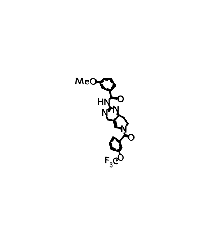 COc1cccc(C(=O)NC2=NCC3=CN(C(=O)c4cccc(OC(F)(F)F)c4)CCC3=N2)c1